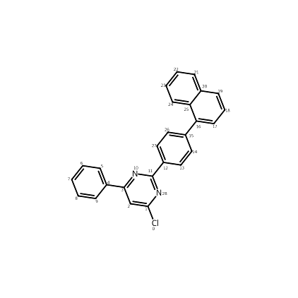 Clc1cc(-c2ccccc2)nc(-c2ccc(-c3cccc4ccccc34)cc2)n1